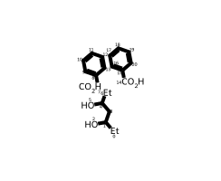 CCC(O)CC(O)CC.O=C(O)c1ccccc1.O=C(O)c1ccccc1